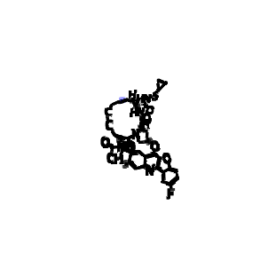 CC(=O)N[C@H]1CCCCC/C=C\[C@@H]2C[C@@]2(C(=O)NSC2CC2)NC(=O)[C@@H]2C[C@H](Oc3c4cc(F)ccc4nc4c3oc3ccc(F)cc34)CN2C1=O